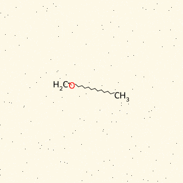 C=COCCCCCCCCCCCCCC